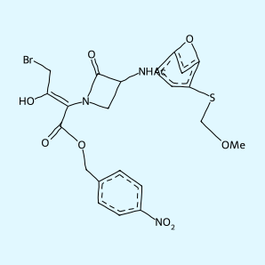 CC(=O)NC1CN(C(C(=O)OCc2ccc([N+](=O)[O-])cc2)=C(O)CBr)C1=O.COCSc1ccc2cc1O2